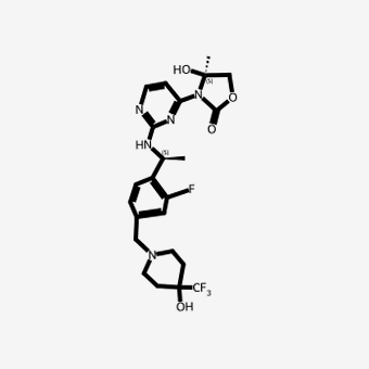 C[C@H](Nc1nccc(N2C(=O)OC[C@]2(C)O)n1)c1ccc(CN2CCC(O)(C(F)(F)F)CC2)cc1F